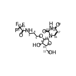 O=C(NCCCO[C@@H]1[C@H](O)[C@@H](CO)O[C@H]1n1ccc(=O)[nH]c1=O)C(F)(F)F